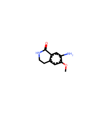 COc1cc2c(cc1N)C(=O)NCC2